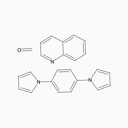 C=O.c1ccc2ncccc2c1.c1ccn(-c2ccc(-n3cccc3)cc2)c1